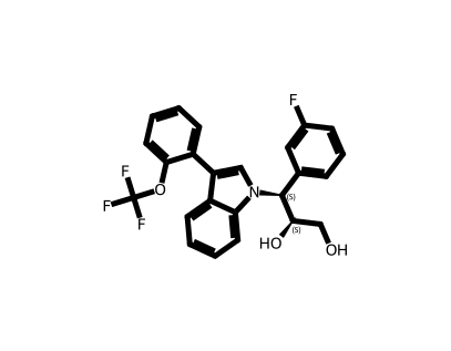 OC[C@@H](O)[C@H](c1cccc(F)c1)n1cc(-c2ccccc2OC(F)(F)F)c2ccccc21